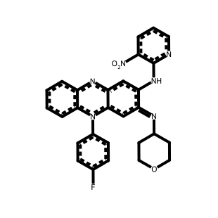 O=[N+]([O-])c1cccnc1Nc1cc2nc3ccccc3n(-c3ccc(F)cc3)c-2c/c1=N\C1CCOCC1